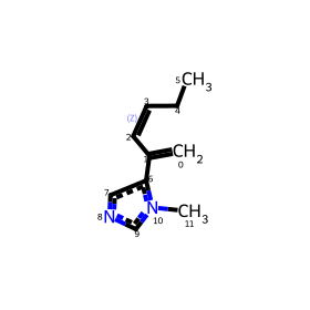 C=C(/C=C\CC)c1cncn1C